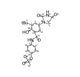 CC(C)(C)c1cc(N2CCC(=O)NC2=O)cc(C(=O)Nc2ccc(OS(C)(=O)=O)cc2)c1O